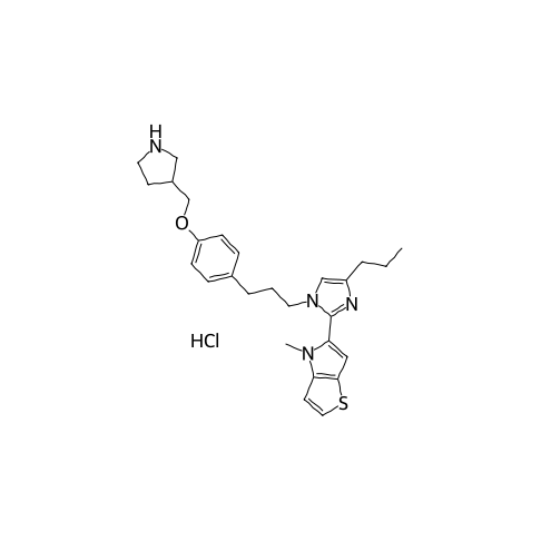 CCCc1cn(CCCc2ccc(OCC3CCNC3)cc2)c(-c2cc3sccc3n2C)n1.Cl